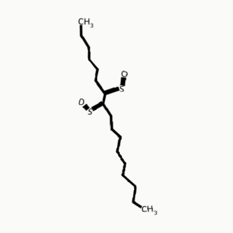 CCCCCCCCCC(=S=O)C(CCCCCC)=S=O